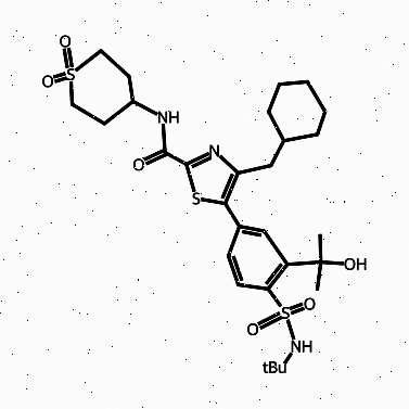 CC(C)(C)NS(=O)(=O)c1ccc(-c2sc(C(=O)NC3CCS(=O)(=O)CC3)nc2CC2CCCCC2)cc1C(C)(C)O